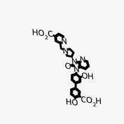 O=C(O)c1ccnc(CN2CC[C@H](n3c(=O)n(-c4ccc(-c5ccc(O)c(C(=O)O)c5)cc4O)c4cccnc43)C2)c1